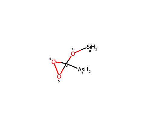 [SiH3]OC1([AsH2])OO1